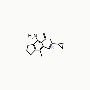 C=Cc1c(N)c2c(c(C)c1/C=C(\C)C1CC1)CCC2